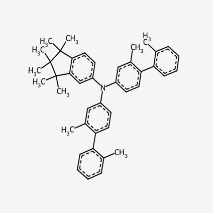 Cc1ccccc1-c1ccc(N(c2ccc(-c3ccccc3C)c(C)c2)c2ccc3c(c2)C(C)(C)C(C)(C)C3(C)C)cc1C